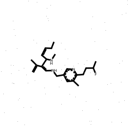 C=C(C)/C(=C/NCc1cnc(CCC(C)F)c(C)c1)C(/C=C\CC)NC